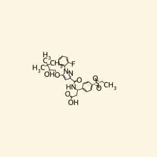 CCS(=O)(=O)c1ccc(C(CC(=O)O)NC(=O)c2cc(OCC(O)C(C)(C)C)n(-c3ccccc3F)n2)cc1